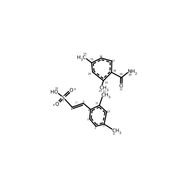 Cc1ccc(/C=C/S(=O)(=O)O)c(C)c1.Cc1ccc(C(N)=O)c(C)c1